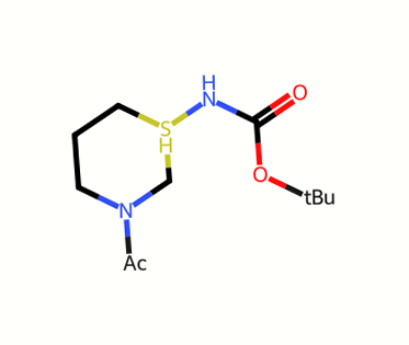 CC(=O)N1CCC[SH](NC(=O)OC(C)(C)C)C1